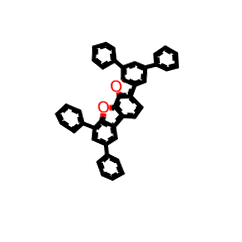 c1ccc(-c2cc(-c3ccccc3)c3oc4c(ccc5c6cc(-c7ccccc7)cc(-c7ccccc7)c6oc54)c3c2)cc1